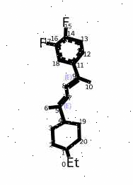 CCC1CCC(/C(C)=C/C=C(\C)c2ccc(F)c(F)c2)CC1